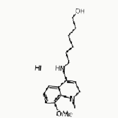 COc1cccc2c1N(C)CC=C2NCCCCCCO.I